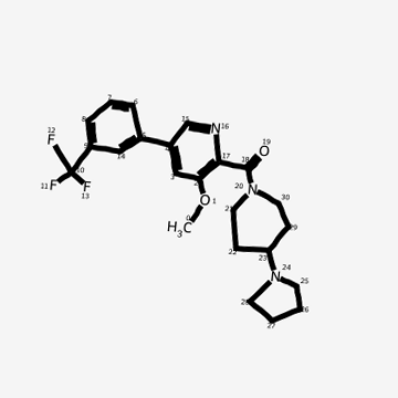 COc1cc(-c2cccc(C(F)(F)F)c2)cnc1C(=O)N1CCC(N2CCCC2)CC1